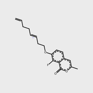 C=CCC/C=C/CCOc1ccc2cc(C)oc(=O)c2c1F